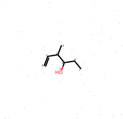 C=CC(C)C(O)CC